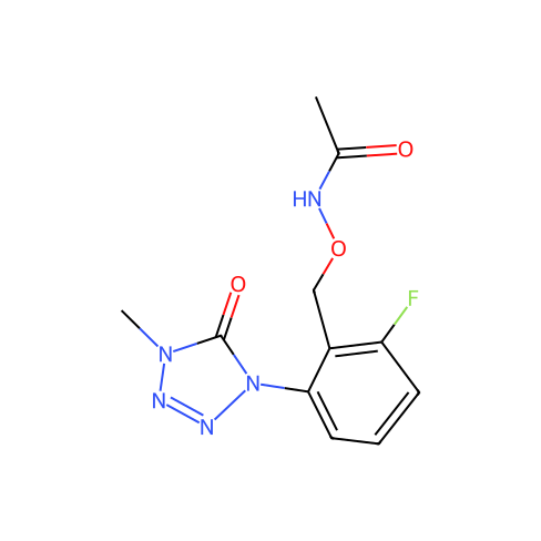 CC(=O)NOCc1c(F)cccc1-n1nnn(C)c1=O